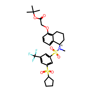 CN([C@@H]1CCCc2c(OCC(=O)OC(C)(C)C)cccc21)S(=O)(=O)c1cc(C(F)(F)F)cc(S(=O)(=O)C2CCCC2)c1